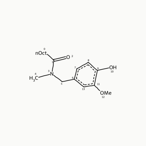 CCCCCCCCC(=O)N(C)Cc1ccc(O)c(OC)c1